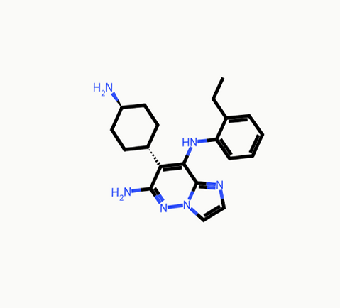 CCc1ccccc1Nc1c2nccn2nc(N)c1[C@H]1CC[C@H](N)CC1